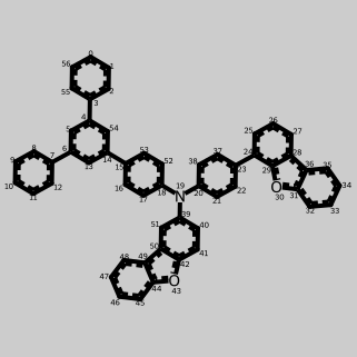 c1ccc(-c2cc(-c3ccccc3)cc(-c3ccc(N(c4ccc(-c5cccc6c5oc5ccccc56)cc4)c4ccc5oc6ccccc6c5c4)cc3)c2)cc1